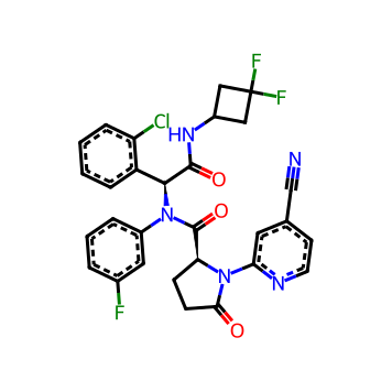 N#Cc1ccnc(N2C(=O)CC[C@H]2C(=O)N(c2cccc(F)c2)[C@H](C(=O)NC2CC(F)(F)C2)c2ccccc2Cl)c1